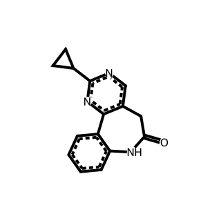 O=C1Cc2cnc(C3CC3)nc2-c2ccccc2N1